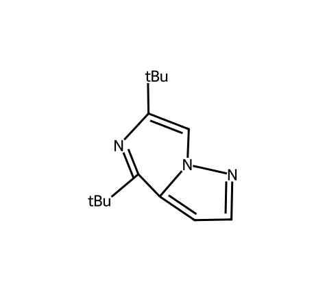 CC(C)(C)c1cn2nccc2c(C(C)(C)C)n1